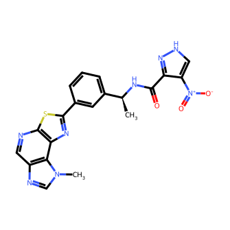 C[C@H](NC(=O)c1n[nH]cc1[N+](=O)[O-])c1cccc(-c2nc3c(ncc4ncn(C)c43)s2)c1